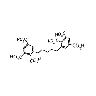 O=C(O)c1cc(CCCCCc2cc(C(=O)O)cc(C(=O)O)c2C(=O)O)c(C(=O)O)c(C(=O)O)c1